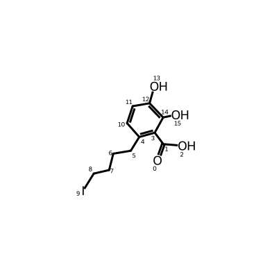 O=C(O)c1c(CCCCI)ccc(O)c1O